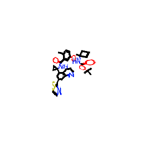 Cc1ccc(OCC2(NC(=O)OC(C)(C)C)CCC2)cc1C(=O)NC1(c2cc(-c3nccs3)cc3ncccc23)CC1